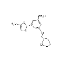 Cc1cnc(-c2cc(OC[C@@H]3CCCO3)cc(C(=O)O)c2)s1